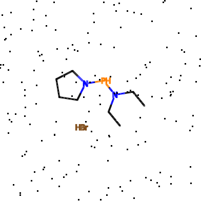 Br.CCN(CC)PN1CCCC1